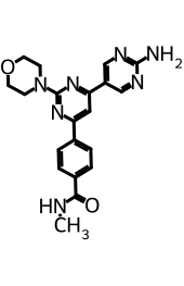 CNC(=O)c1ccc(-c2cc(-c3cnc(N)nc3)nc(N3CCOCC3)n2)cc1